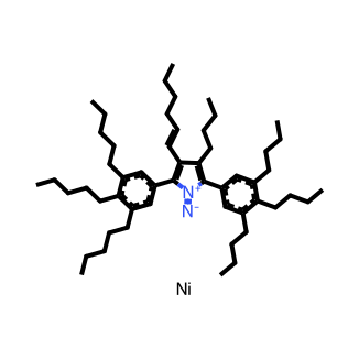 CCCCC=CC1=C(c2cc(CCCCC)c(CCCCC)c(CCCCC)c2)[N+](=[N-])C(c2cc(CCCC)c(CCCC)c(CCCC)c2)=C1CCCC.[Ni]